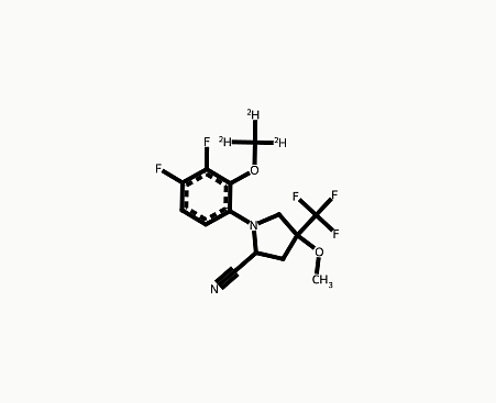 [2H]C([2H])([2H])Oc1c(N2CC(OC)(C(F)(F)F)CC2C#N)ccc(F)c1F